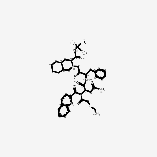 CCOCC(=O)N(C(=O)c1ccc2ccccc2n1)C(CC(N)=O)C(=O)NC(Cc1ccccc1)C(O)CN1CC2CCCCC2CC1C(=O)NC(C)(C)C